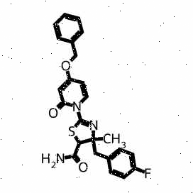 CC1(Cc2ccc(F)cc2)N=C(n2ccc(OCc3ccccc3)cc2=O)SC1C(N)=O